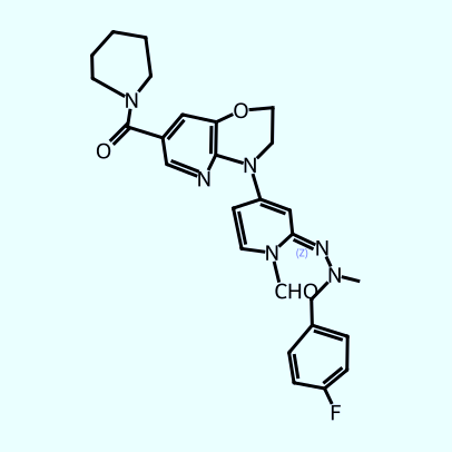 CN(Cc1ccc(F)cc1)/N=c1/cc(N2CCOc3cc(C(=O)N4CCCCC4)cnc32)ccn1C=O